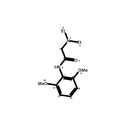 CCN(CC)CC(=O)Nc1c(OC)cccc1OC